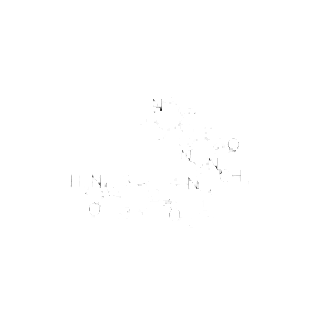 Cn1c(N2CCCO[C@H](c3ccc(C(N)=O)cc3)C2)nc(-c2ccncc2)cc1=O